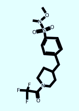 CON(C)S(=O)(=O)c1ccc(CC2CCN(C(=O)C(F)(F)F)CC2)cc1